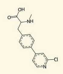 CNC(Cc1ccc(-c2ccnc(Cl)c2)cc1)C(=O)O